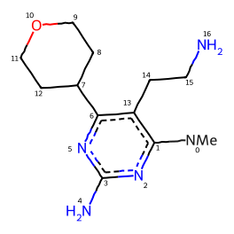 CNc1nc(N)nc(C2CCOCC2)c1CCN